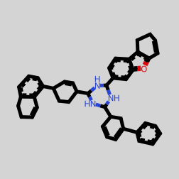 C1=CC(C2NC(c3ccc4c5c(oc4c3)C=CCC5)NC(C3C=CC(c4cccc5c4C=CCC5)CC3)N2)CC(c2ccccc2)=C1